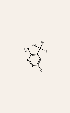 [2H]C([2H])([2H])c1cc(Cl)nnc1N